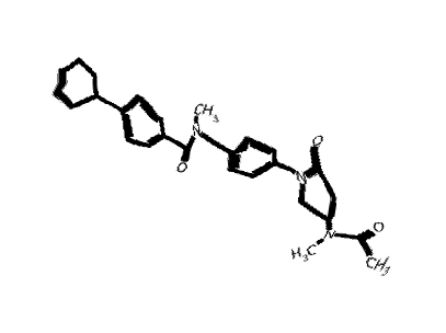 CC(=O)N(C)C1CC(=O)N(c2ccc(N(C)C(=O)c3ccc(C4CCCCC4)cc3)cc2)C1